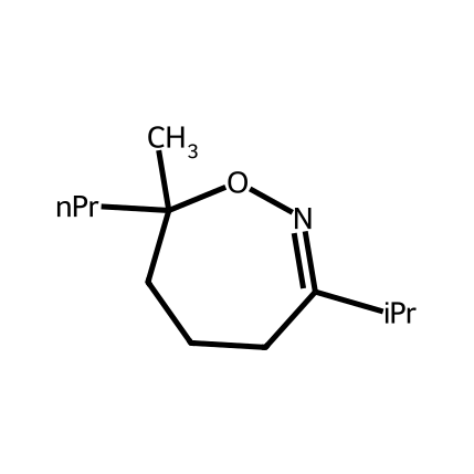 CCCC1(C)CCCC(C(C)C)=NO1